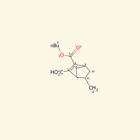 CCCCOC(=O)C1=C(C(=O)O)C2CC1CC2C